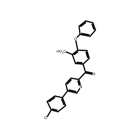 O=C(c1ccc(Oc2ccccc2)c(C(=O)O)c1)c1ccc(-c2ccc(Cl)cc2)cn1